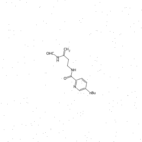 C=C(CCNC(=O)c1ccc(CCCC)cn1)NC=O